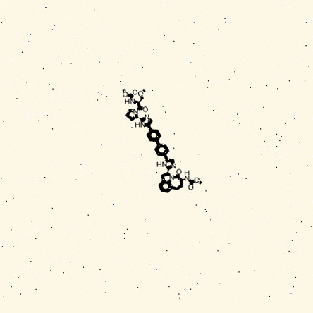 COC[C@H](NC(=O)OC)C(=O)N1CCC[C@H]1c1ncc(-c2ccc(-c3ccc(-c4cnc([C@@H]5Cc6cccc7c6N5C(=O)[C@@H](NC(=O)OC)CC7)[nH]4)cc3)cc2)[nH]1